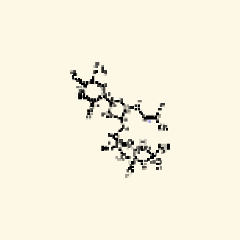 Cc1cn([C@H]2C[C@H](O/C=C(\F)C#N)C(COP(=O)(O)OP(=O)(O)OP(=O)(O)O)O2)c(=O)[nH]c1=O